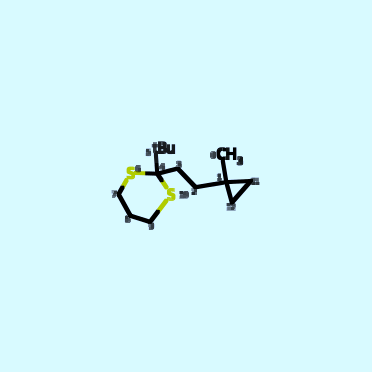 CC1(CCC2(C(C)(C)C)SCCCS2)CC1